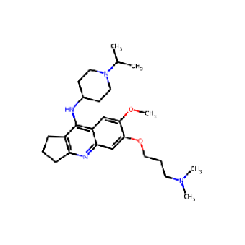 COc1cc2c(NC3CCN(C(C)C)CC3)c3c(nc2cc1OCCCN(C)C)CCC3